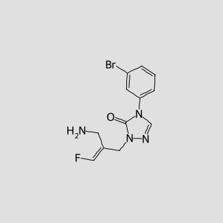 NC/C(=C\F)Cn1ncn(-c2cccc(Br)c2)c1=O